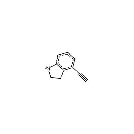 C#Cc1cccc2c1CC[N]2